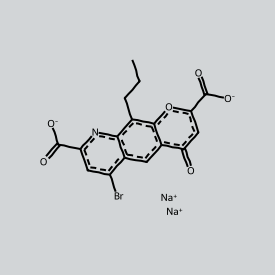 CCCc1c2nc(C(=O)[O-])cc(Br)c2cc2c(=O)cc(C(=O)[O-])oc12.[Na+].[Na+]